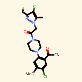 COc1cc(N2CCN(C(=O)Cn3nc(CF)c(Cl)c3C)CC2)c(C(=O)C#N)cc1Cl